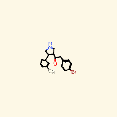 N#Cc1cccc(C2CNCC2C(=O)Cc2ccc(Br)cc2)c1